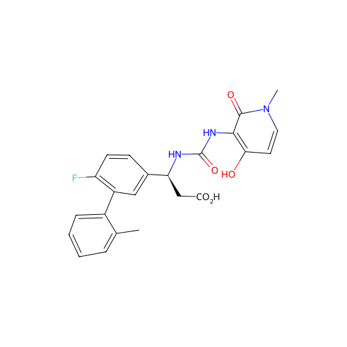 Cc1ccccc1-c1cc([C@H](CC(=O)O)NC(=O)Nc2c(O)ccn(C)c2=O)ccc1F